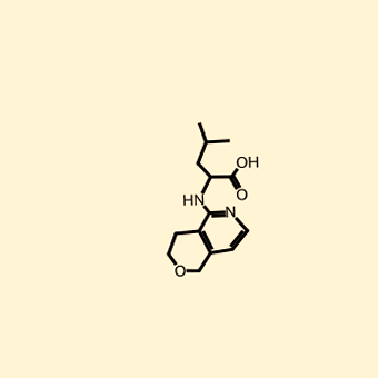 CC(C)CC(Nc1nccc2c1CCOC2)C(=O)O